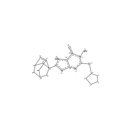 CCCn1c(OC2CCCC2)nc2nc(C34CC5C=C3CC(C5)C4)[nH]c2c1=O